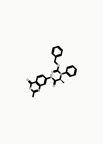 Cc1nc2cc(NC(=O)[C@H](C)N(C(=O)OCc3ccccc3)c3ccccc3)ccc2c(=O)o1